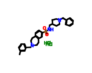 Cc1cccc(CN2CCc3ccc(S(=O)(=O)NCC4CCN(Cc5ccccc5)CC4)cc3CC2)c1.Cl.Cl